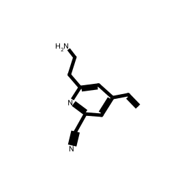 C=Cc1cc(C#N)nc(CCN)c1